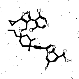 CCCC1(OCc2c(-c3c(Cl)cncc3Cl)noc2C2CC2)CCC(C)(C#Cc2cnc3c(C(=O)O)cc(F)cn23)C(C)C1